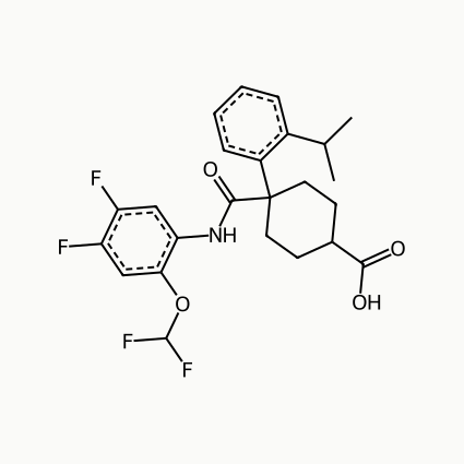 CC(C)c1ccccc1C1(C(=O)Nc2cc(F)c(F)cc2OC(F)F)CCC(C(=O)O)CC1